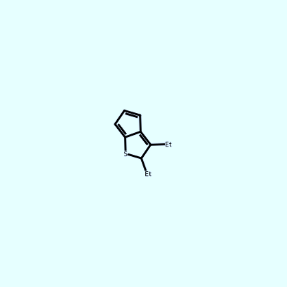 CC[C]1SC2=CC=CC2=C1CC